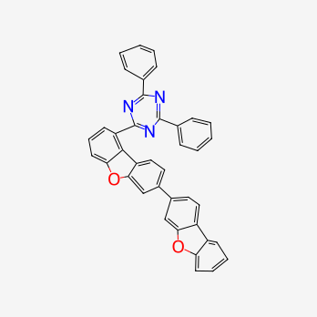 c1ccc(-c2nc(-c3ccccc3)nc(-c3cccc4oc5cc(-c6ccc7c(c6)oc6ccccc67)ccc5c34)n2)cc1